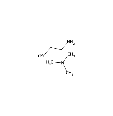 CN(C)C.[CH2]CCCCN